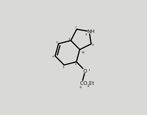 CCOC(=O)OC1CC=CC2CNCC21